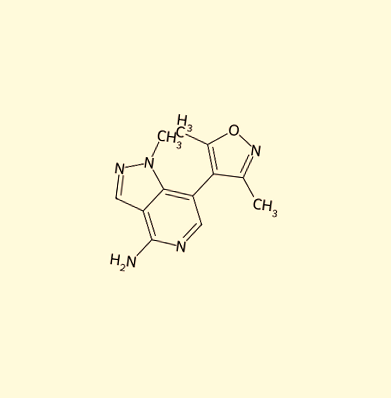 Cc1noc(C)c1-c1cnc(N)c2cnn(C)c12